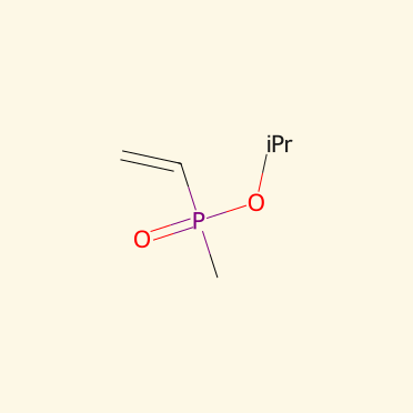 C=CP(C)(=O)OC(C)C